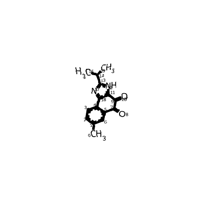 Cc1ccc2c(c1)C(=O)C(=O)c1[nH]c(C(C)C)nc1-2